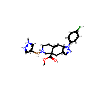 COC(=O)C12Cc3cnn(-c4ccc(F)cc4)c3C=C1CCN(Sc1cnn(C)c1)C2